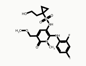 COCc1cc(NS(=O)(=O)C2(CCO)CC2)c(Nc2ccc(I)cc2F)n(C)c1=O